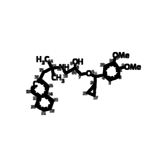 COc1ccc(C(OC[C@H](O)CNC(C)(C)Cc2ccc3ccccc3c2)C2CC2)cc1OC